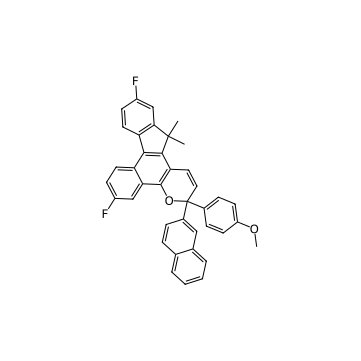 COc1ccc(C2(c3ccc4ccccc4c3)C=Cc3c4c(c5ccc(F)cc5c3O2)-c2ccc(F)cc2C4(C)C)cc1